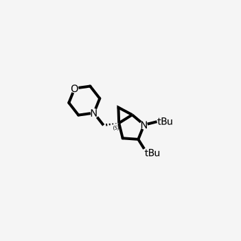 CC(C)(C)C1C[C@@]2(CN3CCOCC3)CC2N1C(C)(C)C